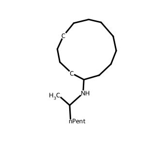 CCCCCC(C)NC1CCCCCCCCCCC1